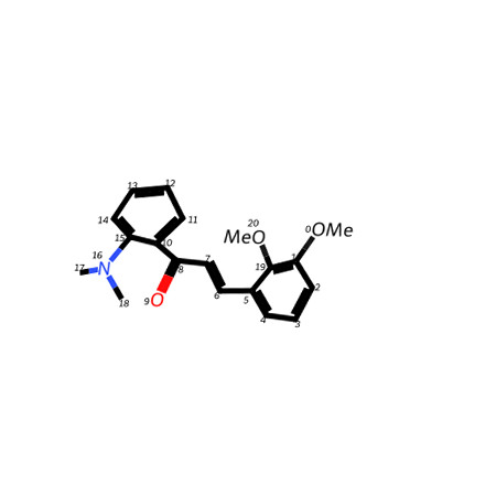 COc1cccc(C=CC(=O)c2ccccc2N(C)C)c1OC